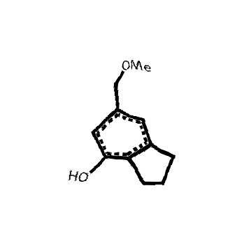 COCc1cc(O)c2c(c1)CCC2